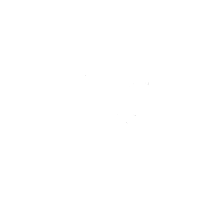 c1ccc(COc2ccc3c(c2)c(-c2cc[nH]c2)nn3C2CCCCO2)cc1